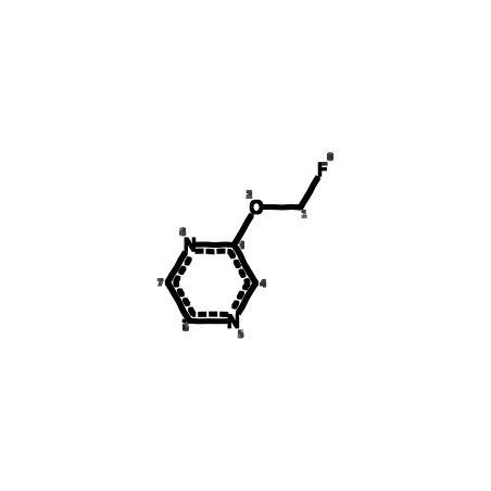 FCOc1cn[c]cn1